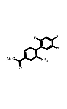 COC(=O)C1=CCC(c2cc(F)c(F)cc2F)C(N)C1